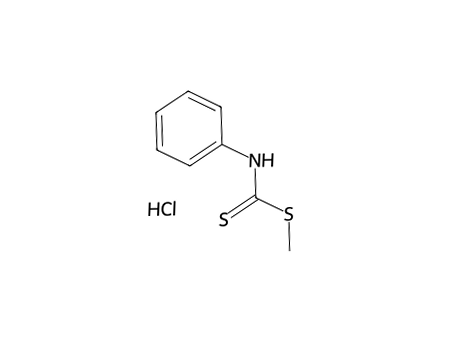 CSC(=S)Nc1ccccc1.Cl